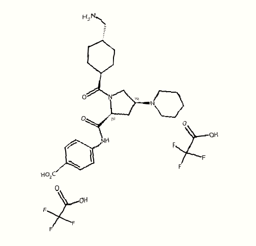 NC[C@H]1CC[C@H](C(=O)N2C[C@@H](N3CCCCC3)C[C@H]2C(=O)Nc2ccc(C(=O)O)cc2)CC1.O=C(O)C(F)(F)F.O=C(O)C(F)(F)F